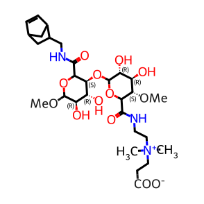 COC1OC(C(=O)NCC2CC3C=CC2C3)[C@@H](OC2OC(C(=O)NCC[N+](C)(C)CCC(=O)[O-])[C@@H](OC)[C@H](O)[C@H]2O)[C@H](O)[C@H]1O